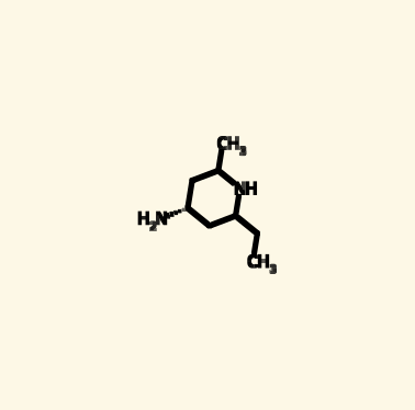 CCC1C[C@H](N)CC(C)N1